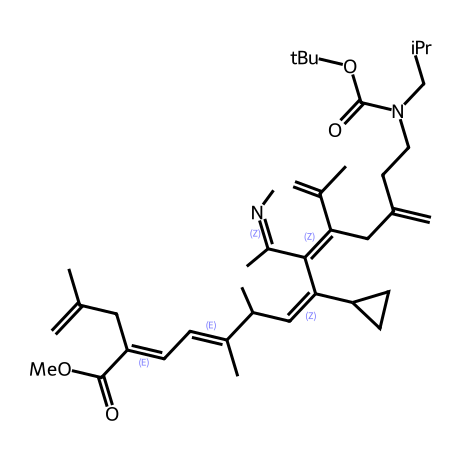 C=C(C)C/C(=C\C=C(/C)C(C)\C=C(C(/C(C)=N\C)=C(\CC(=C)CCN(CC(C)C)C(=O)OC(C)(C)C)C(=C)C)\C1CC1)C(=O)OC